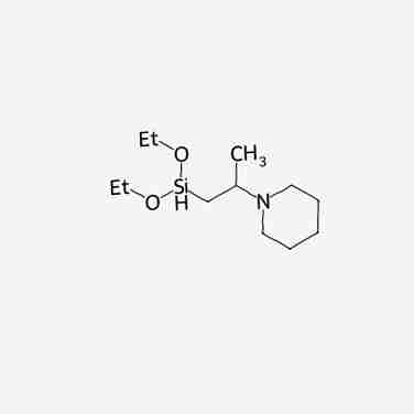 CCO[SiH](CC(C)N1CCCCC1)OCC